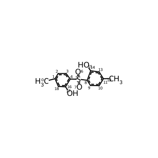 Cc1ccc(S(=O)(=O)c2ccc(C)cc2O)c(O)c1